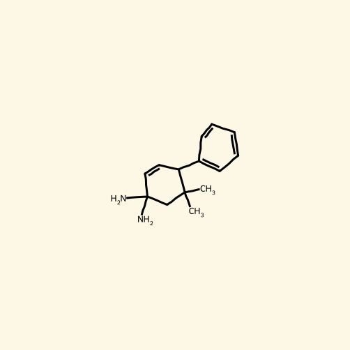 CC1(C)CC(N)(N)C=CC1c1ccccc1